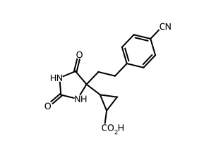 N#Cc1ccc(CCC2(C3CC3C(=O)O)NC(=O)NC2=O)cc1